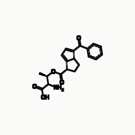 C[C@@H](OC(=O)C1CCC2C(C(=O)c3ccccc3)=CC=C12)C(N)C(=O)O